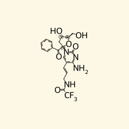 Nc1nc(=O)n([C@@]2(C(=O)c3ccccc3)C[C@H](O)[C@@H](CO)O2)cc1C=CCNC(=O)C(F)(F)F